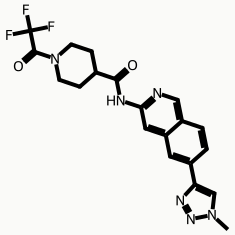 Cn1cc(-c2ccc3cnc(NC(=O)C4CCN(C(=O)C(F)(F)F)CC4)cc3c2)nn1